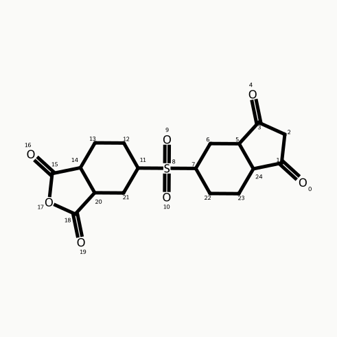 O=C1CC(=O)C2CC(S(=O)(=O)C3CCC4C(=O)OC(=O)C4C3)CCC12